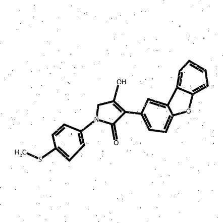 CSc1ccc(N2CC(O)=C(c3ccc4oc5ccccc5c4c3)C2=O)cc1